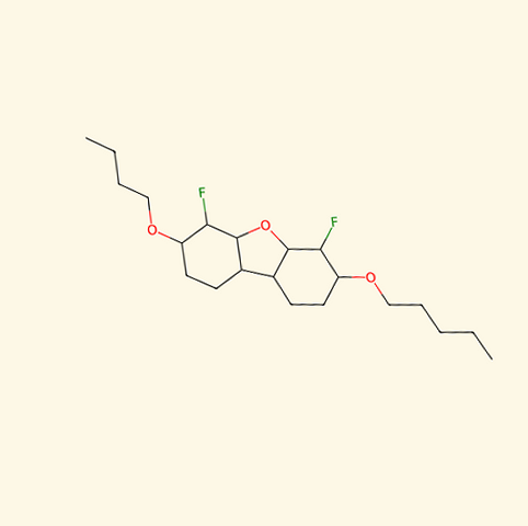 CCCCCOC1CCC2C3CCC(OCCCC)C(F)C3OC2C1F